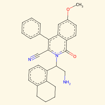 COc1ccc2c(=O)n(C(CN)c3cccc4c3CCCC4)c(C#N)c(-c3ccccc3)c2c1